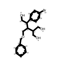 OCC(CO)C(COCc1ccccc1)C(CO)c1ccc(Br)cc1